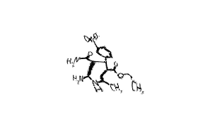 CCOC(=O)C1=C(C)NC(N)=C(C(N)=O)C1c1cccc([N+](=O)[O-])c1